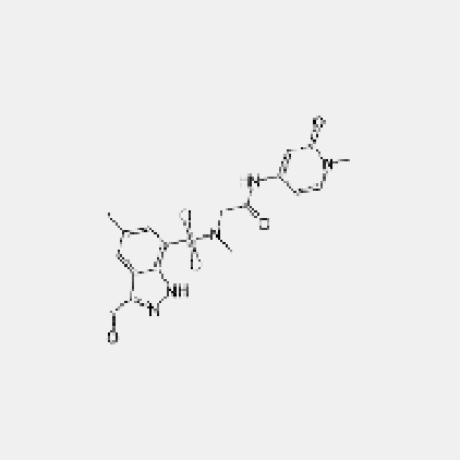 Cc1cc(S(=O)(=O)N(C)CC(=O)Nc2ccn(C)c(=O)c2)c2[nH]nc(C=O)c2c1